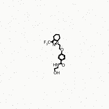 O=C(NCCO)c1ccc(OCCn2nc(C(F)(F)F)c3c2CCCC3)cc1